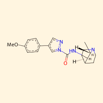 COc1ccc(-c2cnn(C(=O)N[C@@H]3C4CCN(CC4)[C@H]3C)c2)cc1